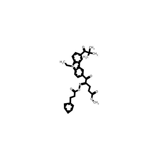 CCn1c2ccc(C(=O)C(CCC(=O)OC)=NOC(=O)CCc3ccccc3)cc2c2cc(C(=O)C(C)(C)C)ccc21